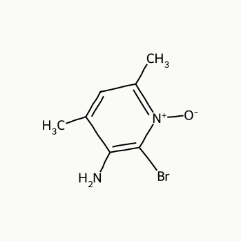 Cc1cc(C)[n+]([O-])c(Br)c1N